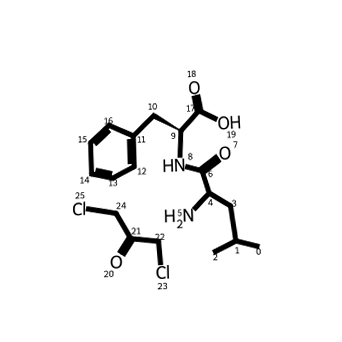 CC(C)CC(N)C(=O)N[C@@H](Cc1ccccc1)C(=O)O.O=C(CCl)CCl